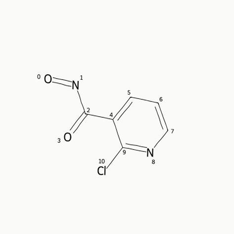 O=NC(=O)c1cccnc1Cl